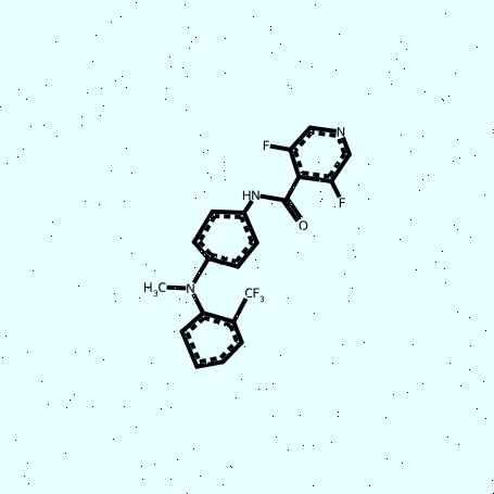 CN(c1ccc(NC(=O)c2c(F)cncc2F)cc1)c1ccccc1C(F)(F)F